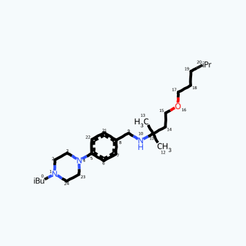 CCC(C)N1CCN(c2ccc(CNC(C)(C)CCOCCCC(C)C)cc2)CC1